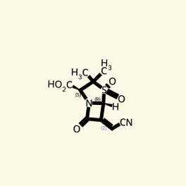 CC1(C)[C@H](C(=O)O)N2C(=O)/C(=C/C#N)[C@H]2S1(=O)=O